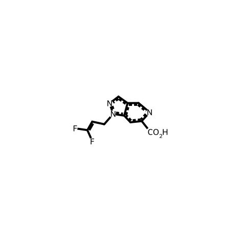 O=C(O)c1cc2c(cn1)cnn2CC=C(F)F